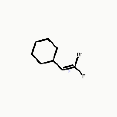 F/C(Br)=C/C1CCCCC1